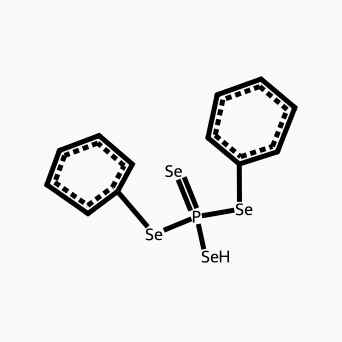 [Se]=P([SeH])([Se]c1ccccc1)[Se]c1ccccc1